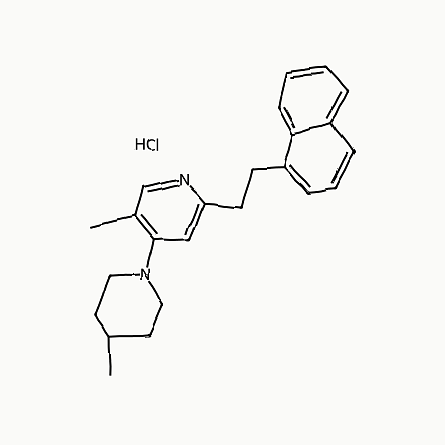 Cc1cnc(CCc2cccc3ccccc23)cc1N1CCC(C)CC1.Cl